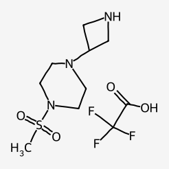 CS(=O)(=O)N1CCN(C2CNC2)CC1.O=C(O)C(F)(F)F